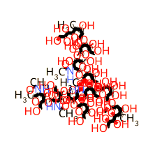 CC(=O)NC1C(O)[C@H](O[C@@H]2OC(CO)[C@H](O)[C@H](O[C@]3(OC=O)C[C@@H](O)[C@@H](C)C(C(O)C(O)CO)O3)C2O)[C@H](CO)O[C@H]1OC1[C@@H](OCC2O[C@@H](O[C@@H]3C(CO)O[C@@H](O[C@@H]4C(CO)O[C@@H](C)C(NC(C)=O)[C@H]4O)C(NC(C)=O)[C@H]3O)C(O)[C@@H](O[C@H]3OC(CO)[C@@H](O)C(O)C3O[C@@H]3OC(CO)[C@@H](O[C@@H]4OC(CO[C@]5(OC=O)C[C@@H](O)[C@@H](C)C(C(O)C(O)CO)O5)[C@H](O)[C@H](O)C4O)[C@H](O)C3NC(C)=O)[C@@H]2O)OC(CO)[C@@H](O)[C@@H]1O